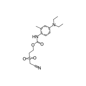 CCN(CC)c1ccc(NC(=O)OCCS(=O)(=O)CC#N)c(C)c1